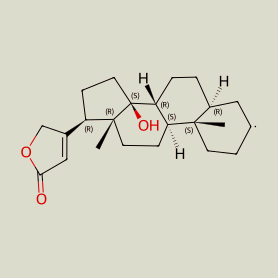 C[C@]12CC[CH]C[C@@H]1CC[C@@H]1[C@@H]2CC[C@]2(C)[C@@H](C3=CC(=O)OC3)CC[C@]12O